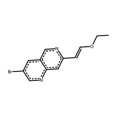 CCO/C=C/c1cc2ncc(Br)cc2cn1